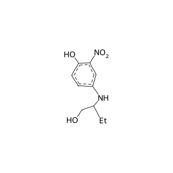 CCC(CO)Nc1ccc(O)c([N+](=O)[O-])c1